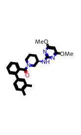 COc1cc(OC)nc(N[C@@H]2CCCN(C(=O)c3ccccc3-c3ccc(C)c(C)c3)C2)n1